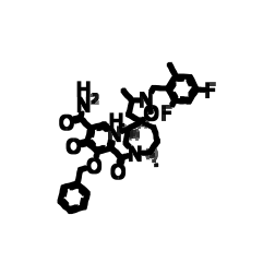 Cc1cc(F)cc(F)c1CN1O[C@@]2(CC[C@H](C)N3C[C@H]2n2cc(C(N)=O)c(=O)c(OCc4ccccc4)c2C3=O)CC1C